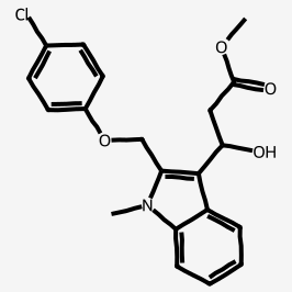 COC(=O)CC(O)c1c(COc2ccc(Cl)cc2)n(C)c2ccccc12